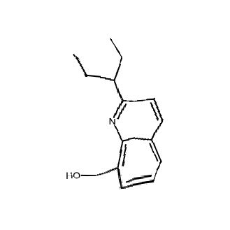 CCC(CC)c1ccc2cccc(O)c2n1